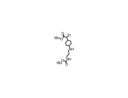 CCC(C(=O)OC(C)(C)C)C1CCC(NCCCNC(=O)OC(C)(C)C)CC1